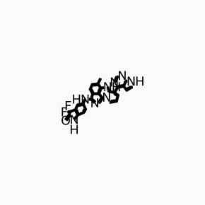 Cc1ccc2c(Nc3ccc4c(c3)C(F)(F)C(=O)N4)nccc2c1Nc1ncccc1-c1ncnc2[nH]ccc12